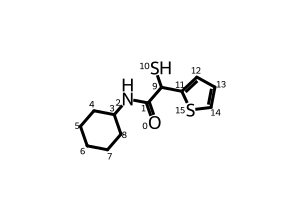 O=C(NC1CCCCC1)C(S)c1cccs1